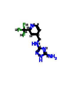 Nc1nc(NCc2ccnc(C(F)(F)F)c2)n[nH]1